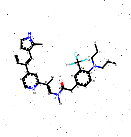 C=C/C(=C\c1cc[nH]c1C)c1ccnc(/C(C)=C/N(C)C(=O)Cc2ccc(N(CCC)CCC)c(C(F)(F)F)c2)c1